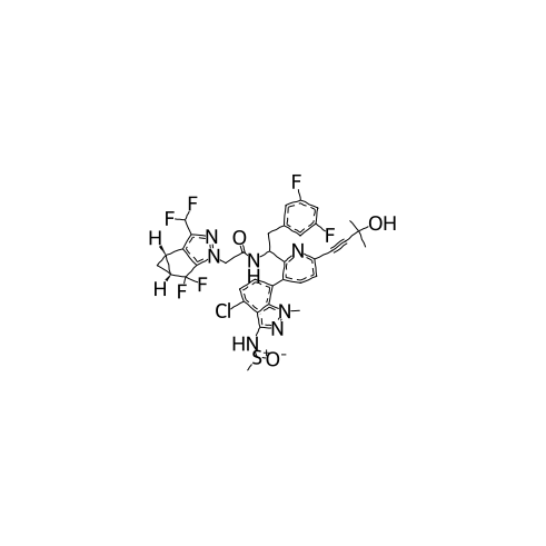 Cn1nc(N[S+](C)[O-])c2c(Cl)ccc(-c3ccc(C#CC(C)(C)O)nc3C(Cc3cc(F)cc(F)c3)NC(=O)Cn3nc(C(F)F)c4c3C(F)(F)[C@@H]3C[C@H]43)c21